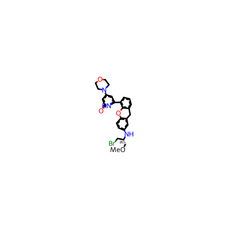 COC[C@H](CBr)Nc1ccc2c(c1)Cc1cccc(-c3cc(N4CCOCC4)cc(=O)[nH]3)c1O2